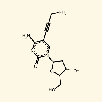 NCC#Cc1cn([C@H]2C[C@H](O)[C@@H](CO)O2)c(=O)nc1N